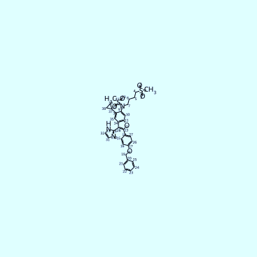 CS(=O)(=O)CCCCN(c1cc2oc(-c3ccc(OCc4ccccc4)cc3)c(-c3ncc[nH]3)c2cc1C1CC1)S(C)(=O)=O